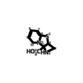 O=C(O)C12NCC1SC1=CC=CCN12